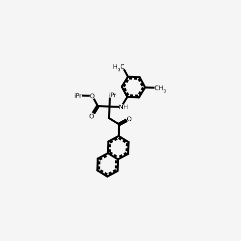 Cc1cc(C)cc(NC(CC(=O)c2ccc3ccccc3c2)(C(=O)OC(C)C)C(C)C)c1